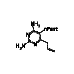 C=CCc1nc(N)nc(N)c1CCCCC